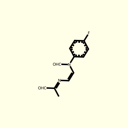 C/C(C=O)=N\C=C/N(C=O)c1ccc(F)cc1